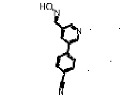 N#Cc1ccc(-c2cncc(C=NO)c2)cc1